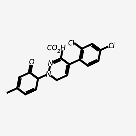 CC1=CC(=O)C(N2CC=C(c3ccc(Cl)cc3Cl)C(C(=O)O)=N2)C=C1